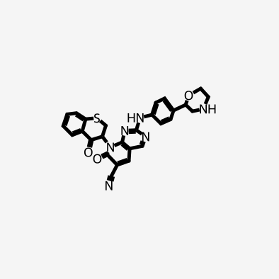 N#Cc1cc2cnc(Nc3ccc(C4CNCCO4)cc3)nc2n(C2CSc3ccccc3C2=O)c1=O